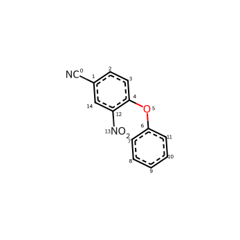 N#Cc1ccc(Oc2ccccc2)c([N+](=O)[O-])c1